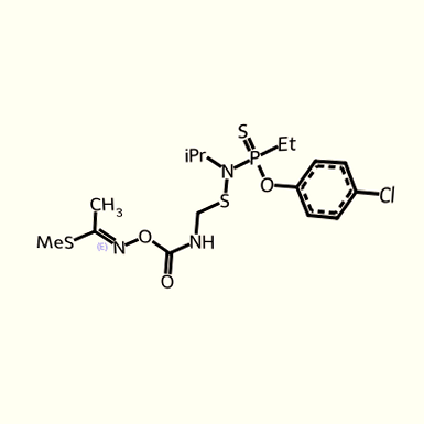 CCP(=S)(Oc1ccc(Cl)cc1)N(SCNC(=O)O/N=C(\C)SC)C(C)C